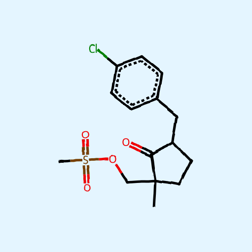 CC1(COS(C)(=O)=O)CCC(Cc2ccc(Cl)cc2)C1=O